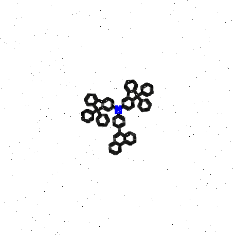 c1ccc(C2(c3ccccc3)c3ccccc3-c3cc(N(c4ccc(-c5cc6ccccc6c6ccccc56)cc4)c4ccc5c(c4)C(c4ccccc4)(c4ccccc4)c4ccccc4-5)ccc32)cc1